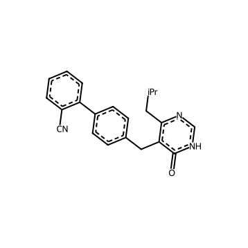 CC(C)Cc1nc[nH]c(=O)c1Cc1ccc(-c2ccccc2C#N)cc1